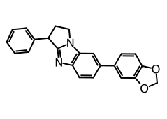 c1ccc(C2CCn3c2nc2ccc(-c4ccc5c(c4)OCO5)cc23)cc1